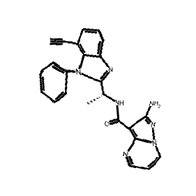 C#Cc1cccc2nc([C@@H](C)NC(=O)c3c(N)nn4cccnc34)n(-c3ccccc3)c12